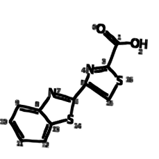 O=C(O)c1nc(-c2nc3ccccc3s2)cs1